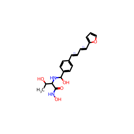 CC(O)C(NC(O)c1ccc(/C=C/C=C/c2ccco2)cc1)C(=O)NO